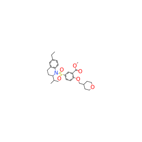 CCc1ccc2c(c1)CCC(C(C)C)N2S(=O)(=O)c1ccc(OCC2CCOCC2)c(C(=O)OC)c1